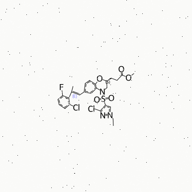 CCn1cc(S(=O)(=O)N2C[C@H](CCC(=O)OC)Oc3ccc(/C=C(\C)c4c(F)cccc4Cl)cc32)c(Cl)n1